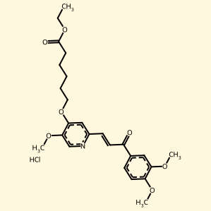 CCOC(=O)CCCCCOc1cc(C=CC(=O)c2ccc(OC)c(OC)c2)ncc1OC.Cl